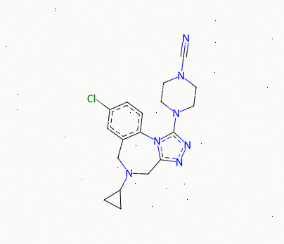 N#CN1CCN(c2nnc3n2-c2ccc(Cl)cc2CN(C2CC2)C3)CC1